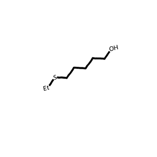 CCSCCCCCO